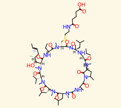 C/C=C/C[C@@H](C)[C@@H](O)[C@@H]1C(=O)N[C@@H](CC)C(=O)N(C)[C@H](CSCCNC(=O)CCCC(=O)O)C(=O)N(C)[C@@](C=O)(CC(C)C)N[C@H](C(C)C)C(=O)N(C)[C@@H]2CC(C)N(C(=O)C(C)NC(=O)N(C)C(CC(C)C)C(=O)N(C)[C@H](CC(C)C)C(=O)N(C)[C@H](C(C)C)C(=O)N1C)C2=O